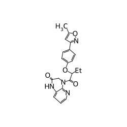 CCC(Oc1ccc(-c2cc(C)on2)cc1)C(=O)N1CC(=O)Nc2cccnc21